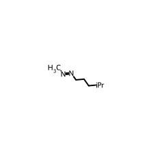 CN=NCCCC(C)C